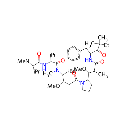 CCC(C)C(C(CC(=O)N1CCCC1C(OC)C(C)C(=O)NC(Cc1ccccc1)C(=O)C(C)(C)CC)OC)N(C)C(=O)C(NC(=O)C(NC)C(C)C)C(C)C